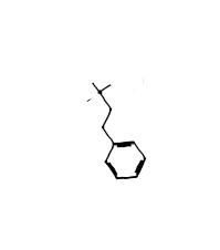 CC[C@](O)(CCc1ccccc1)C(=O)O